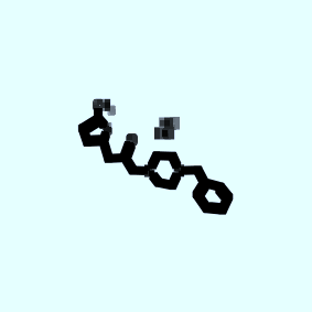 Cc1ccc(CC(=O)CN2CCN(Cc3ccccc3)CC2)s1.Cl.Cl